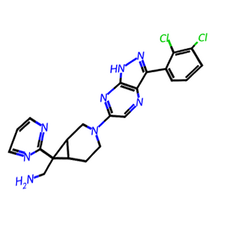 NCC1(c2ncccn2)C2CCN(c3cnc4c(-c5cccc(Cl)c5Cl)n[nH]c4n3)CC21